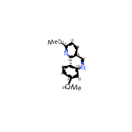 COc1cccc(/N=C\c2ccc(OC)nc2)c1